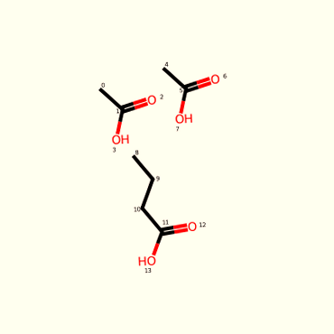 CC(=O)O.CC(=O)O.CCCC(=O)O